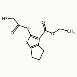 CCOC(=O)c1c(NC(=O)CS)sc2c1CCC2